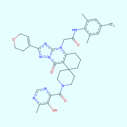 Cc1cc(C(F)(F)F)cc(C)c1NC(=O)Cn1c2c(c(=O)n3nc(C4=CCOCC4)nc13)C1(CCC2)CCN(C(=O)c2ncnc(C)c2O)CC1